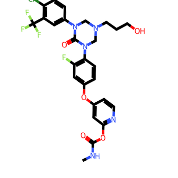 CNC(=O)Oc1cc(Oc2ccc(N3CN(CCCO)CN(c4ccc(Cl)c(C(F)(F)F)c4)C3=O)c(F)c2)ccn1